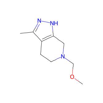 COCN1CCc2c(C)n[nH]c2C1